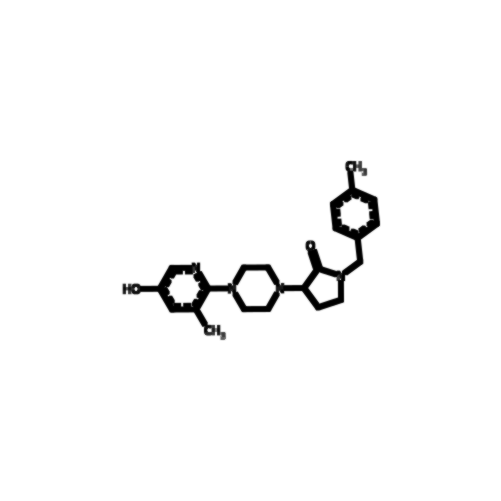 Cc1ccc(CN2CCC(N3CCN(c4ncc(O)cc4C)CC3)C2=O)cc1